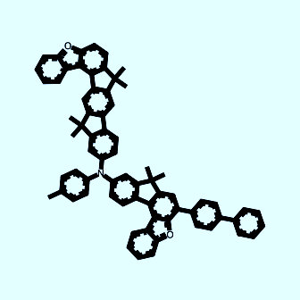 Cc1ccc(N(c2ccc3c(c2)C(C)(C)c2cc4c(cc2-3)C(C)(C)c2ccc3oc5ccccc5c3c2-4)c2ccc3c(c2)C(C)(C)c2cc(-c4ccc(-c5ccccc5)cc4)c4oc5ccccc5c4c2-3)cc1